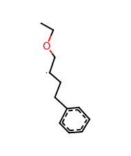 CCOC[CH]CCc1ccccc1